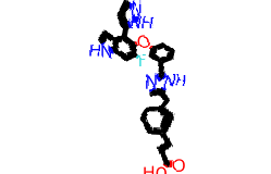 O=C(O)CCc1cccc(Cc2cnc(-c3cccc(Oc4c(F)cc5[nH]ccc5c4-c4ccn[nH]4)c3)[nH]2)c1